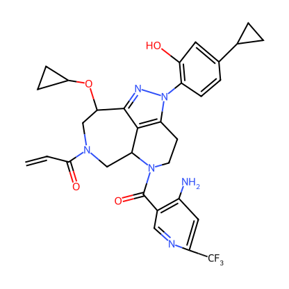 C=CC(=O)N1CC(OC2CC2)c2nn(-c3ccc(C4CC4)cc3O)c3c2C(C1)N(C(=O)c1cnc(C(F)(F)F)cc1N)CC3